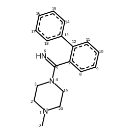 CN1CCN(C(=N)c2ccccc2-c2ccccc2)CC1